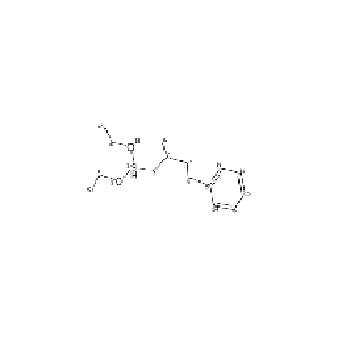 CCO[SiH](CC(C)C=Cc1ccccc1)OCC